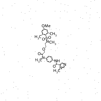 COc1cc(C)c(S(=O)(=O)N(C)CCOCC(=O)N(C)c2ccc(NC(=O)c3cncn3C)cc2)c(C)c1